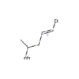 [CH2]C/C=C/CC(C)CCC